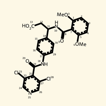 COc1cccc(OC)c1C(=O)NC(CC(=O)O)c1ccc(NC(=O)c2c(Cl)cncc2Cl)cc1